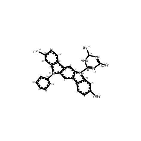 CCCc1ccc2c3cc4c(cc3n(C3=NC(C(C)C)=NC(C(C)C)N3)c2c1)c1ccc(CCC)cc1n4-c1ccccc1